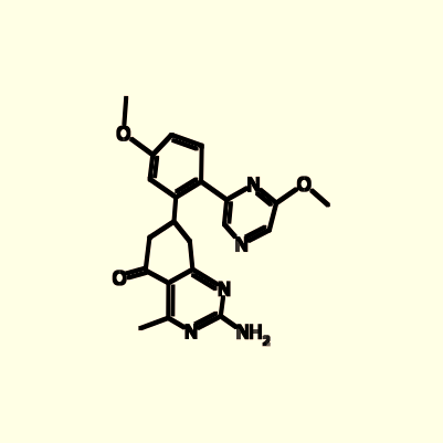 COc1ccc(-c2cncc(OC)n2)c(C2CC(=O)c3c(C)nc(N)nc3C2)c1